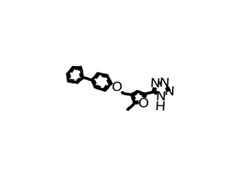 Cc1oc(-c2nnn[nH]2)cc1COc1ccc(-c2ccccc2)cc1